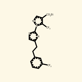 CCOC(=O)c1cnn(-c2nc(CCc3cccc(C(F)(F)F)c3)cs2)c1C(F)(F)F